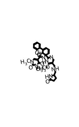 COc1nc(C2(NC(=O)c3cn(C)c(=O)n(C)c3=O)C=CC=C(c3ccccc3Cl)[C@@H]2Cl)ncc1CNCC1CCC(=O)N1